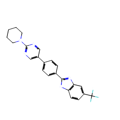 FC(F)(F)c1ccc2[nH]c(-c3ccc(-c4cnc(N5CCCCC5)nc4)cc3)nc2c1